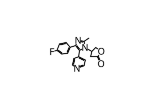 Cc1nc(-c2ccc(F)cc2)c(-c2ccncc2)n1C1COC(=O)C1